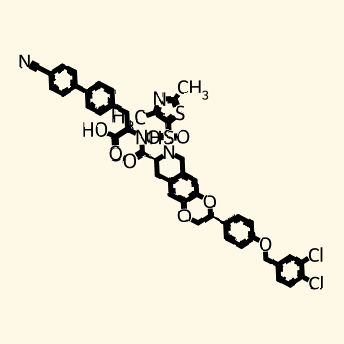 Cc1nc(C)c(S(=O)(=O)N2Cc3cc4c(cc3C[C@H]2C(=O)NC(Cc2ccc(-c3ccc(C#N)cc3)cc2)C(=O)O)OC[C@H](c2ccc(OCc3ccc(Cl)c(Cl)c3)cc2)O4)s1